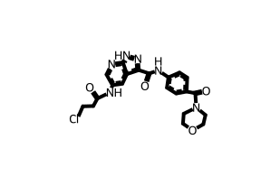 O=C(CCCl)Nc1cnc2[nH]nc(C(=O)Nc3ccc(C(=O)N4CCOCC4)cc3)c2c1